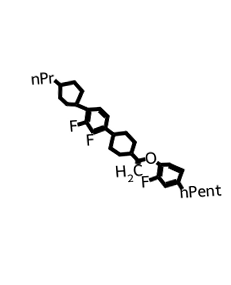 C=C(Oc1ccc(CCCCC)cc1F)C1CCC(c2ccc(C3CCC(CCC)CC3)c(F)c2F)CC1